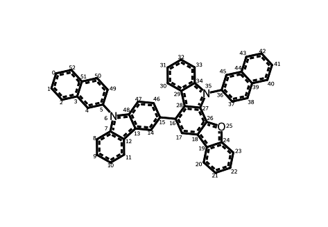 c1ccc2cc(-n3c4ccccc4c4cc(-c5cc6c7ccccc7oc6c6c5c5ccccc5n6-c5ccc6ccccc6c5)ccc43)ccc2c1